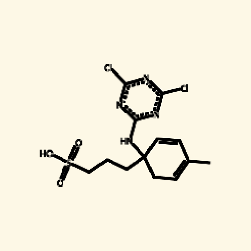 CC1=CCC(CCCS(=O)(=O)O)(Nc2nc(Cl)nc(Cl)n2)C=C1